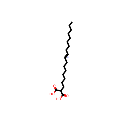 CCCCCCCC/C=C/CCCCCCCC(C(=O)O)C(=O)O